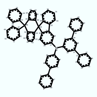 c1ccc(-c2ccc(N(c3cc(-c4ccccc4)cc(-c4ccccc4)c3)c3ccc4c(c3)-c3ccccc3C43c4ccccc4C(c4ccccc4)(c4ccccc4)c4ccccc43)cc2)cc1